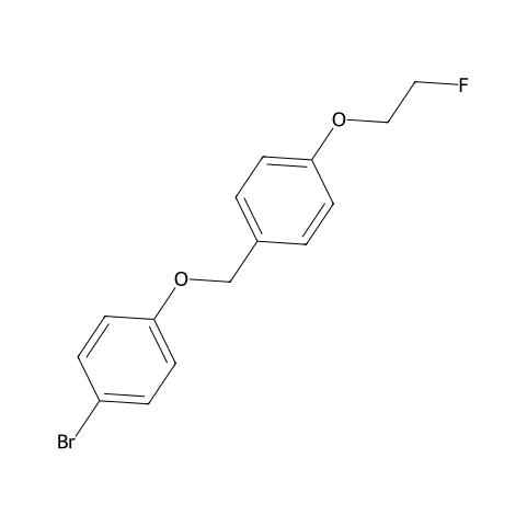 FCCOc1ccc(COc2ccc(Br)cc2)cc1